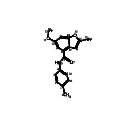 Cc1ccc(NC(=O)c2cc(OC(C)C)cc3oc(C(C)C)cc23)nc1